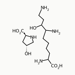 NCCC(O)C(N)CCCCC(N)C(=O)O.O=C(O)[C@@H]1C[C@@H](O)CN1